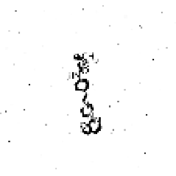 CS(=O)(=O)CC(=O)N[C@H]1CC[C@H](CCN2CCN(c3nccc4ccoc34)CC2)CC1